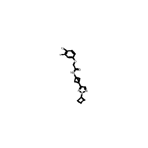 O=C(COc1ccc(Cl)c(F)c1)NC12CC(c3cnn(C4CCC4)n3)(C1)C2